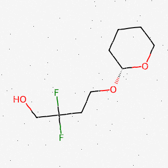 OCC(F)(F)CCO[C@@H]1CCCCO1